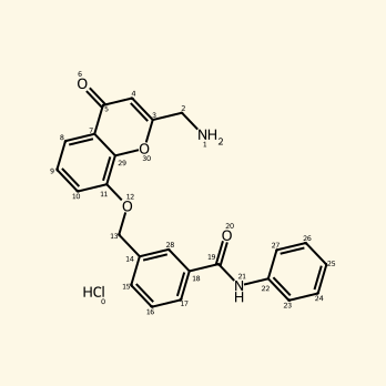 Cl.NCc1cc(=O)c2cccc(OCc3cccc(C(=O)Nc4ccccc4)c3)c2o1